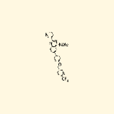 CNc1nc(-c2cccnc2)nc2ccc(-c3ccc(OCc4ccc(C(F)(F)F)nc4)cc3)cc12